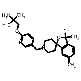 Cc1ccc2c(c1)C1(CCN(Cc3ccc(OCC(C)(C)N)nc3)CC1)OC2(C)C